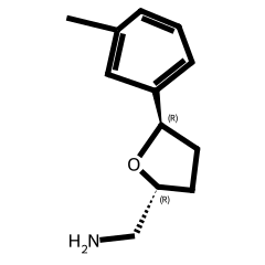 Cc1cccc([C@H]2CC[C@H](CN)O2)c1